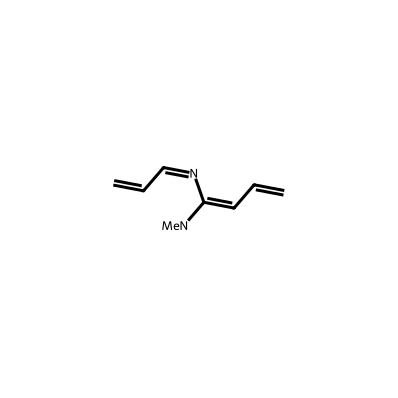 C=C/C=N\C(=C/C=C)NC